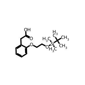 CC(C)(C)[Si](C)(C)OCCOc1ccccc1CC(=O)O